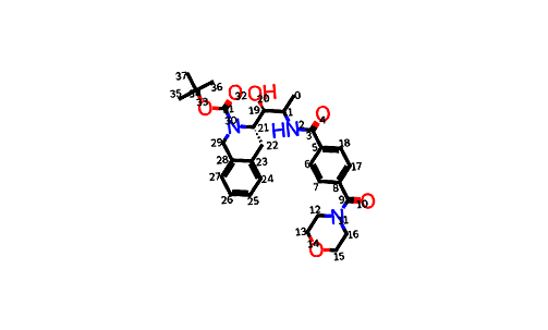 CC(NC(=O)c1ccc(C(=O)N2CCOCC2)cc1)[C@H](O)[C@@H]1Cc2ccccc2CN1C(=O)OC(C)(C)C